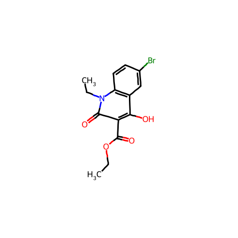 CCOC(=O)c1c(O)c2cc(Br)ccc2n(CC)c1=O